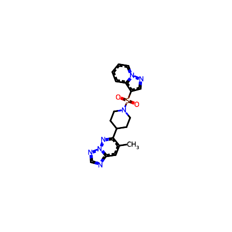 Cc1cc2ncnn2nc1C1CCN(S(=O)(=O)c2cnn3ccccc23)CC1